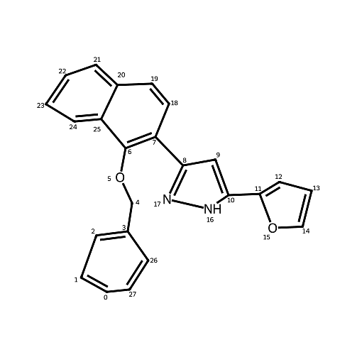 c1ccc(COc2c(-c3cc(-c4ccco4)[nH]n3)ccc3ccccc23)cc1